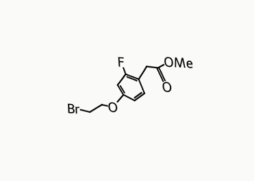 COC(=O)Cc1ccc(OCCBr)cc1F